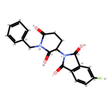 O=C1CCC(N2C(=O)c3ccc(F)cc3C2=O)C(=O)N1Cc1ccccc1